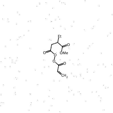 C=CC(=O)OOC(=O)CC(CC)C(=O)OC